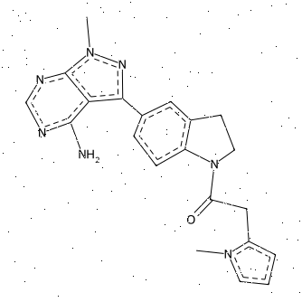 Cn1cccc1CC(=O)N1CCc2cc(-c3nn(C)c4ncnc(N)c34)ccc21